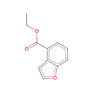 CCOC(=O)c1cccc2occc12